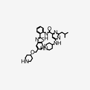 CC(C)Cc1nc(NC2CCNCC2)cc(C(=O)Nc2ccccc2-c2nc3cc(COC4CCNCC4)cnc3s2)n1